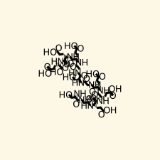 N[C@@H](CO)C(=O)NCC(=O)N[C@@H](CCC(=O)O)C(=O)N[C@@H](CCC(=O)O)C(=O)N[C@@H](CCC(=O)O)C(=O)NCC(=O)N[C@@H](CO)C(=O)NCC(=O)N[C@@H](CCC(=O)O)C(=O)N[C@@H](CCC(=O)O)C(=O)N[C@@H](CCC(=O)O)C(=O)O